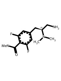 CNC(=O)c1c(F)cc(C[C@@H](CN)N(C)C)cc1F